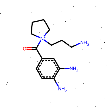 NCCC[N+]1(C(=O)c2ccc(N)c(N)c2)CCCC1